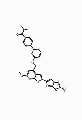 COc1cc(COc2cccc(-c3ccc(C(=O)N(C)C)cc3)c2)c2cc(-c3cn4nc(OC)sc4n3)oc2c1